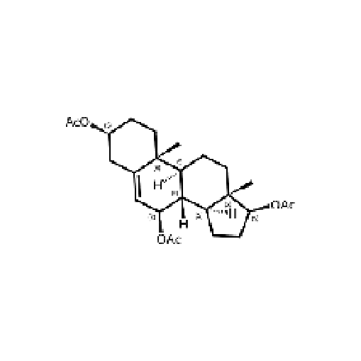 CC(=O)O[C@H]1CC[C@@]2(C)C(=C[C@H](OC(C)=O)[C@H]3[C@@H]4CC[C@H](OC(C)=O)[C@@]4(C)CC[C@@H]32)C1